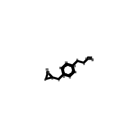 CCCc1ccc(CC2CO2)cc1